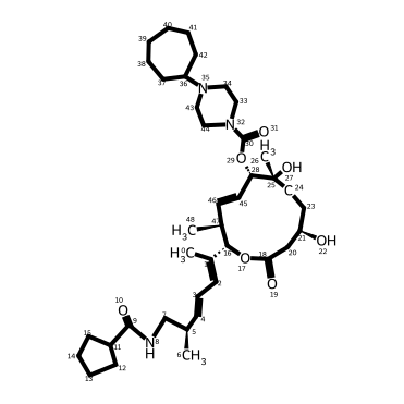 C/C(=C\C=C\[C@@H](C)CNC(=O)C1CCCC1)[C@H]1OC(=O)C[C@H](O)CC[C@@](C)(O)[C@@H](OC(=O)N2CCN(C3CCCCCC3)CC2)/C=C/[C@@H]1C